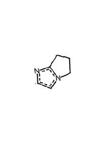 [c]1cn2c(n1)CCC2